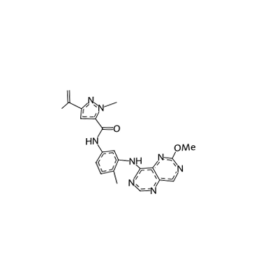 C=C(C)c1cc(C(=O)Nc2ccc(C)c(Nc3ncnc4cnc(OC)nc34)c2)n(C)n1